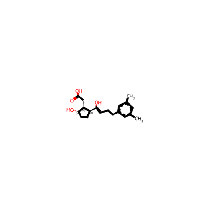 Cc1cc(C)cc(CCC=C(O)[C@H]2CC[C@H](O)[C@@H]2CC(=O)O)c1